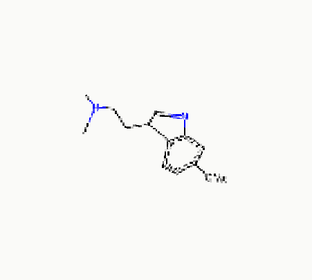 COc1ccc2c(c1)N=CC2CCN(C)C